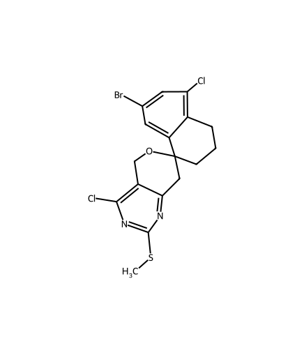 CSc1nc(Cl)c2c(n1)CC1(CCCc3c(Cl)cc(Br)cc31)OC2